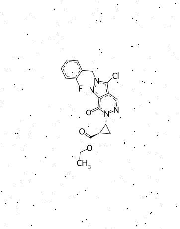 CCOC(=O)[C@@H]1C[C@H]1n1ncc2c(Cl)n(Cc3ccccc3F)nc2c1=O